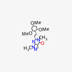 COc1cc(OC)c(/C=C/c2nc3c(cnn3C)c(=O)n2C)c(OC)c1